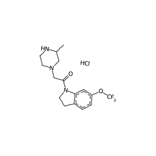 CC1CN(CC(=O)N2CCc3ccc(OC(F)(F)F)cc32)CCN1.Cl